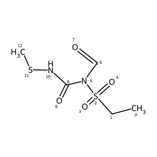 CCS(=O)(=O)N([C]=O)C(=O)NSC